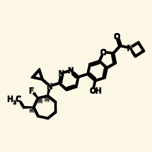 CC[C@@H]1CCCC[C@H](N(c2ccc(-c3cc4oc(C(=O)N5CCC5)cc4cc3O)nn2)C2CC2)[C@@H]1F